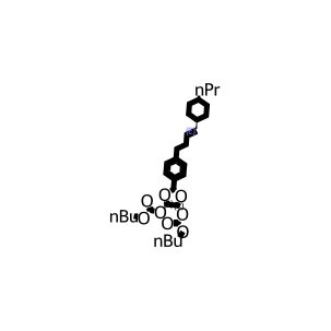 CCCCOC(=O)O[C@H]1OC(c2ccc(CC/C=C/[C@H]3CC[C@H](CCC)CC3)cc2)O[C@@H]1OC(=O)OCCCC